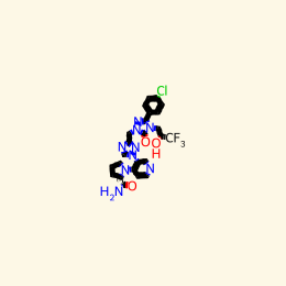 NC(=O)[C@@H]1CCCN1c1ccncc1-n1cnc(Cn2nc(-c3ccc(Cl)cc3)n(CC(O)C(F)(F)F)c2=O)n1